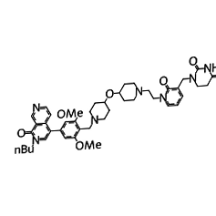 CCCCn1cc(-c2cc(OC)c(CN3CCC(OC4CCN(CCn5cccc(CN6CCC(=O)NC6=O)c5=O)CC4)CC3)c(OC)c2)c2ccncc2c1=O